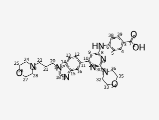 O=C(O)c1ccc(Nc2cc(-c3ccc4c(c3)ncn4CCCN3CCOCC3)nc(N3CCOCC3)n2)cc1